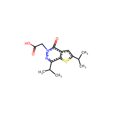 CC(C)c1cc2c(=O)n(CC(=O)O)nc(C(C)C)c2s1